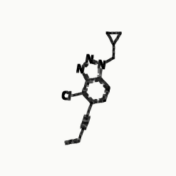 C=CC#Cc1ccc2c(nnn2CC2CC2)c1Cl